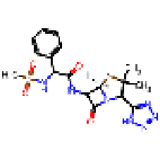 CC1(C)S[C@@H]2C(NC(=O)C(NS(C)(=O)=O)c3ccccc3)C(=O)N2C1c1nnn[nH]1